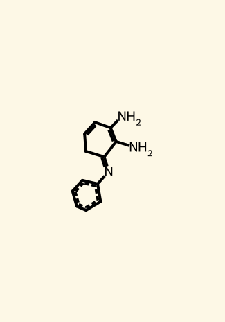 NC1=C(N)C(=Nc2ccccc2)CC=C1